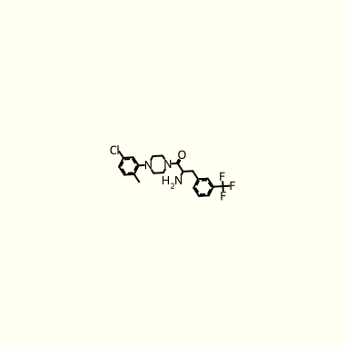 Cc1ccc(Cl)cc1N1CCN(C(=O)C(N)Cc2cccc(C(F)(F)F)c2)CC1